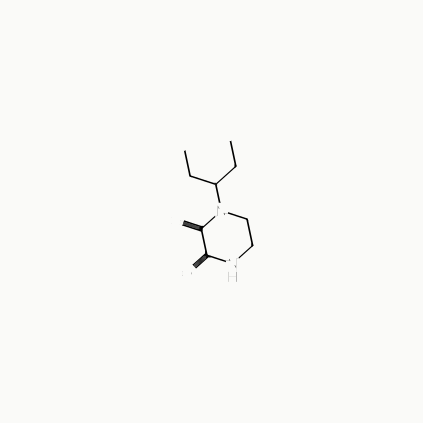 CCC(CC)N1CCNC(=O)C1=O